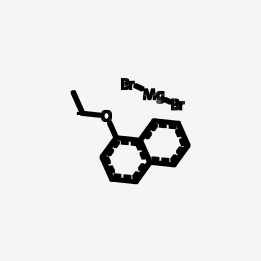 C[CH]Oc1cccc2ccccc12.[Br][Mg][Br]